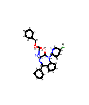 O=C(N[C@H]1N=C(c2ccccc2)c2ccccc2N(c2ccc(Cl)cn2)C1=O)OCc1ccccc1